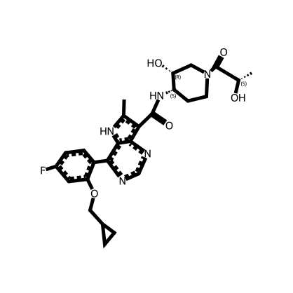 Cc1[nH]c2c(-c3ccc(F)cc3OCC3CC3)ncnc2c1C(=O)N[C@H]1CCN(C(=O)[C@H](C)O)C[C@H]1O